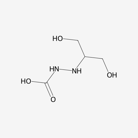 O=C(O)NNC(CO)CO